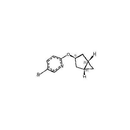 Brc1ccc(O[C@H]2C[C@@H]3C[C@@H]3C2)nc1